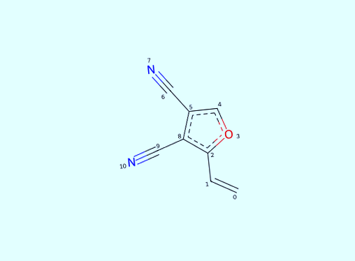 C=Cc1occ(C#N)c1C#N